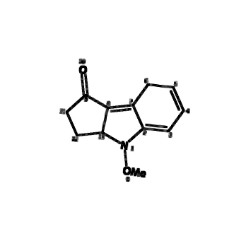 CON1C2=CC=CCC2=C2C(=O)CCC21